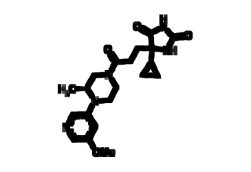 COc1cncc(N2CCN(C(=O)CCC3(C4CC4)NC(=O)NC3=O)C[C@@H]2C)c1